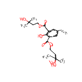 O=C(OCCC(O)(C(F)(F)F)C(F)(F)F)c1cc(S(=O)(=O)O)cc(C(=O)OCCC(O)(C(F)(F)F)C(F)(F)F)c1O